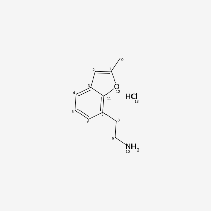 Cc1cc2cccc(CCN)c2o1.Cl